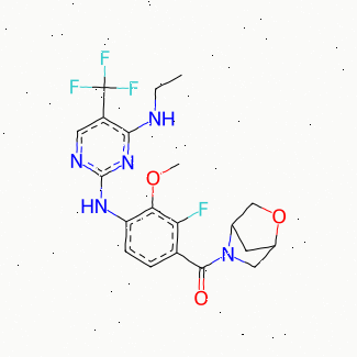 CCNc1nc(Nc2ccc(C(=O)N3CC4CC3CO4)c(F)c2OC)ncc1C(F)(F)F